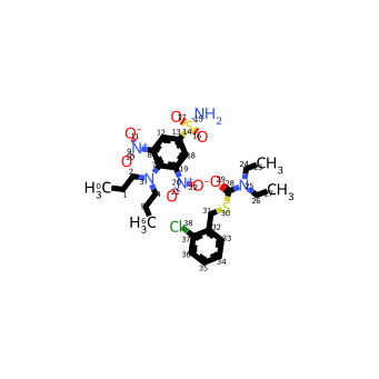 CCCN(CCC)c1c([N+](=O)[O-])cc(S(N)(=O)=O)cc1[N+](=O)[O-].CCN(CC)C(=O)SCc1ccccc1Cl